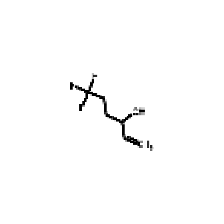 C=CC(O)CCC(F)(F)F